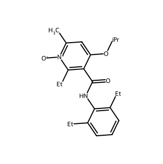 CCc1cccc(CC)c1NC(=O)c1c(OC(C)C)cc(C)[n+]([O-])c1CC